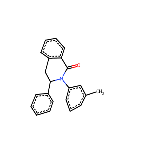 Cc1cccc(N2C(=O)c3ccccc3CC2c2ccccc2)c1